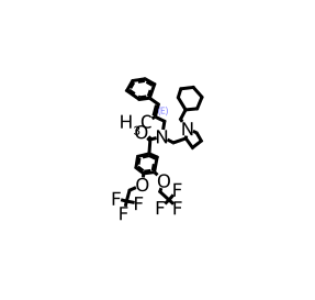 C/C(=C\c1ccccc1)CN(CC1CCCN1CC1CCCCC1)C(=O)c1ccc(OCC(F)(F)F)c(OCC(F)(F)F)c1